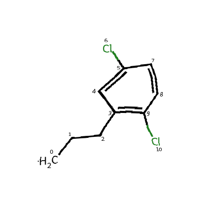 [CH2]CCc1cc(Cl)ccc1Cl